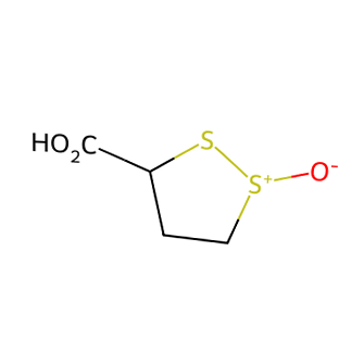 O=C(O)C1CC[S+]([O-])S1